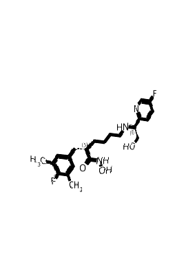 Cc1cc(C[C@H](CCCCN[C@H](CO)c2ccc(F)cn2)C(=O)NO)cc(C)c1F